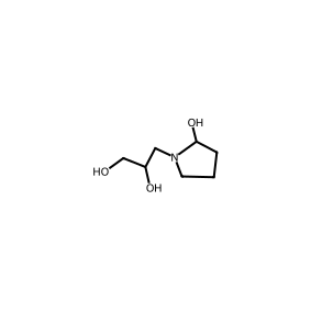 OCC(O)CN1CCCC1O